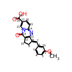 COc1cccc(C=C2CCc3c2nc2ccc(C(=O)O)cn2c3=O)c1